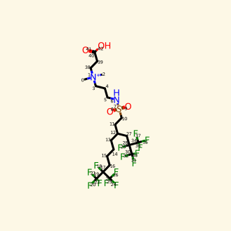 C[N+](C)(CCCNS(=O)(=O)CCC(CCCCC(F)(C(F)(F)F)C(F)(F)F)CC(F)(C(F)(F)F)C(F)(F)F)CCC(=O)O